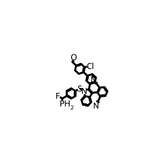 N#Cc1cccc(C#N)c1-c1c(-c2cccc(C3=C(Cl)C=C(C=O)CC3)c2)n(Sc2ccc(C(F)P)cc2)c2ccccc12